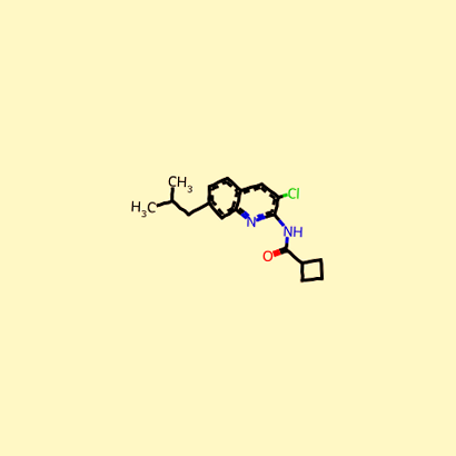 CC(C)Cc1ccc2cc(Cl)c(NC(=O)C3CCC3)nc2c1